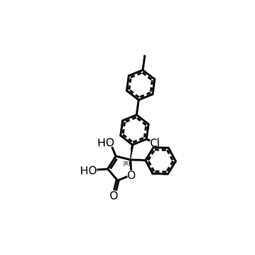 Cc1ccc(-c2ccc([C@@]3(c4ccccc4)OC(=O)C(O)=C3O)c(Cl)c2)cc1